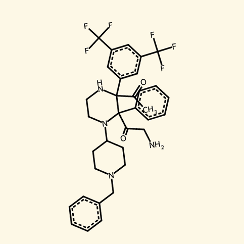 CC(=O)C1(c2cc(C(F)(F)F)cc(C(F)(F)F)c2)NCCN(C2CCN(Cc3ccccc3)CC2)C1(C(=O)CN)c1ccccc1